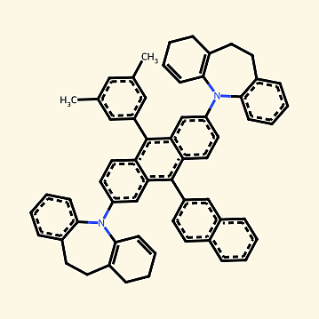 Cc1cc(C)cc(-c2c3ccc(N4C5=C(CCC=C5)CCc5ccccc54)cc3c(-c3ccc4ccccc4c3)c3ccc(N4C5=C(CCC=C5)CCc5ccccc54)cc23)c1